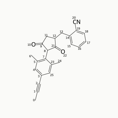 CC#Cc1cc(C)c(C2C(=O)CC(Cc3ccccc3C#N)C2=O)c(C)c1